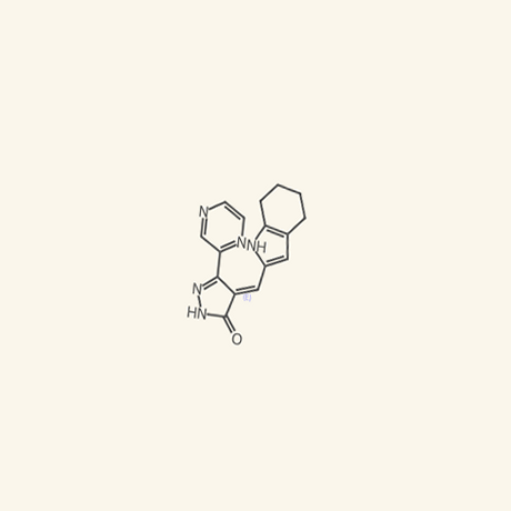 O=C1NN=C(c2cnccn2)/C1=C\c1cc2c([nH]1)CCCC2